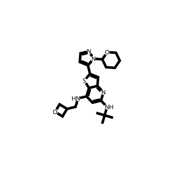 CC(C)(C)Nc1cc(NCC2COC2)c2sc(-c3ccnn3C3CCCCO3)cc2n1